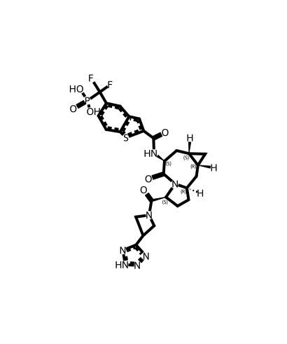 O=C(N[C@H]1C[C@@H]2C[C@@H]2C[C@H]2CC[C@@H](C(=O)N3CC(c4nn[nH]n4)C3)N2C1=O)c1cc2cc(C(F)(F)P(=O)(O)O)ccc2s1